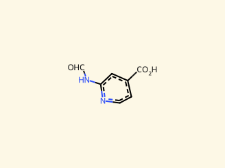 O=CNc1cc(C(=O)O)ccn1